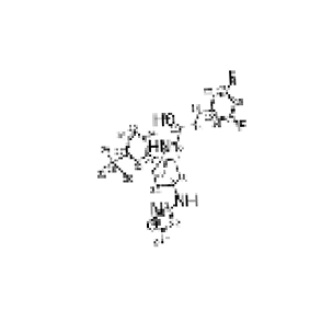 Cc1cc(NC2CCC(NCC(O)CCc3cc(F)cc(F)c3)(c3cccc(C(C)(C)C)c3)CC2)no1